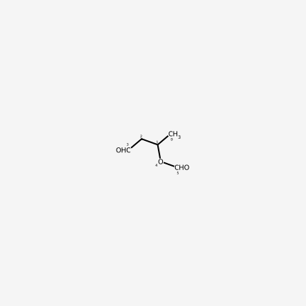 CC(CC=O)OC=O